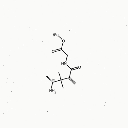 C=C(C(=O)NCC(=O)OC(C)(C)C)C(C)(C)[C@H](C)N